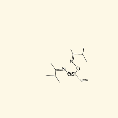 C=C[SiH](ON=C(C)C(C)C)ON=C(C)C(C)C